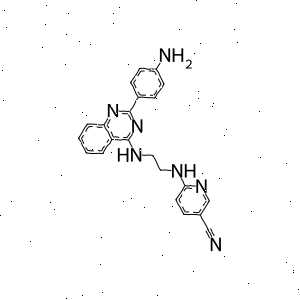 N#Cc1ccc(NCCNc2nc(-c3ccc(N)cc3)nc3ccccc23)nc1